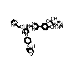 C[C@@H](Cn1cnnn1)Oc1cc(-c2cnc(Nc3cn([C@H]4CC[C@H](N5C=C6C[C@@H]5CO6)CC4)nc3OCc3nccs3)nc2)ccc1C#N